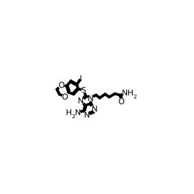 NC(=O)CCCCCn1c(Sc2cc3c(cc2I)OCCO3)nc2c(N)ncnc21